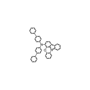 c1ccc(-c2ccc(N(c3ccc(-c4ccccc4)cc3)c3ccc4c5ccccc5n5c4c3Oc3ccccc3-5)cc2)cc1